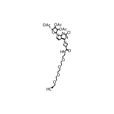 C#CCOCCOCCOCCOCCNC(=O)C1CN(c2nc(Cl)nc3c2ccn3[C@@H]2O[C@H](COC(C)=O)[C@@H](OC(C)=O)[C@H]2OC(C)=O)C1